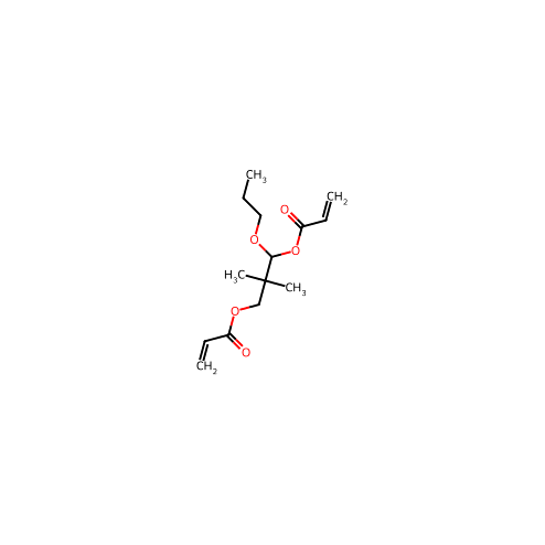 C=CC(=O)OCC(C)(C)C(OCCC)OC(=O)C=C